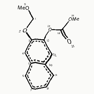 COCOc1cc2ccccc2cc1OC(=O)OC